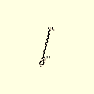 CCCCCCCCCCCCCCCC(O)C[N+]1([O-])CCOCC1